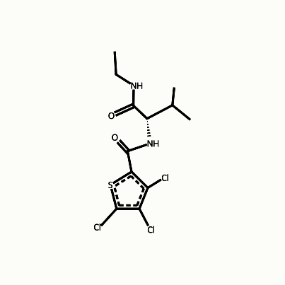 CCNC(=O)[C@@H](NC(=O)c1sc(Cl)c(Cl)c1Cl)C(C)C